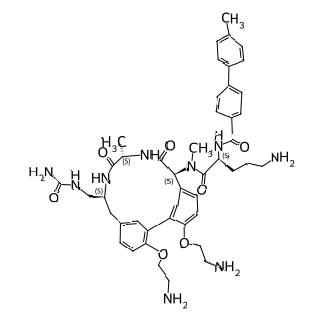 Cc1ccc(-c2ccc(C(=O)N[C@@H](CCCN)C(=O)N(C)[C@@H]3C(=O)N[C@@H](C)C(=O)N[C@H](CNC(N)=O)Cc4ccc(OCCN)c(c4)-c4cc3ccc4OCCN)cc2)cc1